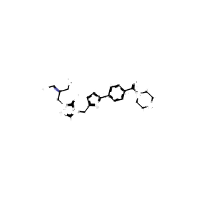 NC/C(=C/F)Cn1ncn(Cc2ccc(-c3ccc(C(=O)N4CCOCC4)cc3)s2)c1=O